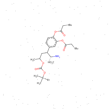 CCC(C)(C)OC(=O)OC(C)CC(c1ccc(OC(=O)CC(C)(C)C)c(OC(=O)CC(C)(C)C)c1)[C@H](N)C(=O)O